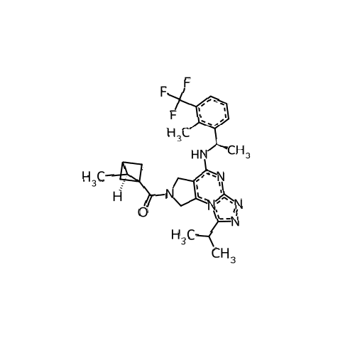 Cc1c([C@@H](C)Nc2nc3nnc(C(C)C)n3c3c2CN(C(=O)C24CC(C2)[C@@H]4C)C3)cccc1C(F)(F)F